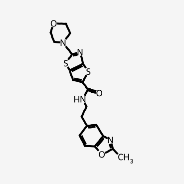 Cc1nc2cc(CCNC(=O)c3cc4sc(N5CCOCC5)nc4s3)ccc2o1